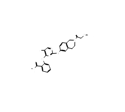 CNCC(=O)N1CCc2cc(Nc3ncc(Br)c(Nc4ccccc4C(=O)NC)n3)ccc2C1